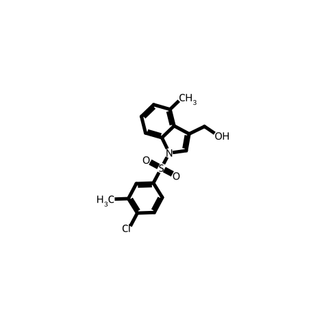 Cc1cc(S(=O)(=O)n2cc(CO)c3c(C)cccc32)ccc1Cl